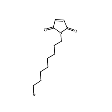 O=C1C=CC(=O)N1CCCCCCCC[S]